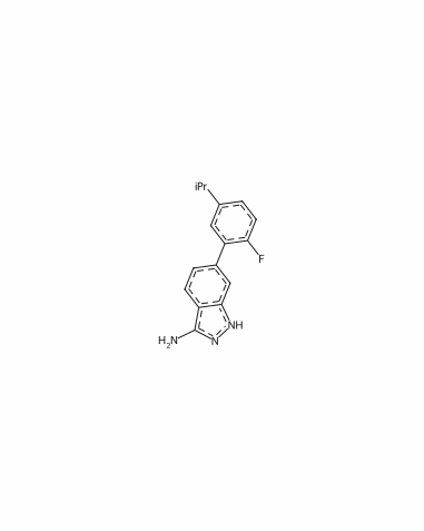 CC(C)c1ccc(F)c(-c2ccc3c(N)n[nH]c3c2)c1